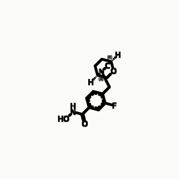 O=C(NO)c1ccc(CN2C[C@H]3CC[C@@H]2CO3)c(F)c1